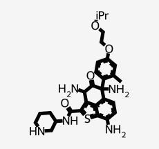 Cc1cc(OCCOC(C)C)ccc1C1(N)C(=O)C(N)c2c(C(=O)NC3CCCNC3)sc3c(N)ccc1c23